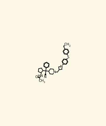 C=Cc1ccc(Sc2ccc(N3CC(CN4CCC(C(C#N)(c5ccccc5)C5CCCC5NC(C)=O)CC4)C3)cc2)cc1